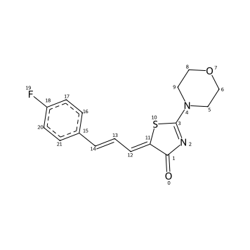 O=C1N=C(N2CCOCC2)SC1=CC=Cc1ccc(F)cc1